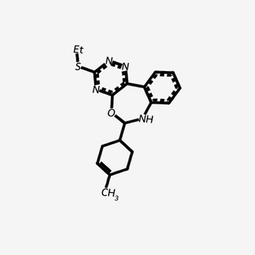 CCSc1nnc2c(n1)OC(C1CC=C(C)CC1)Nc1ccccc1-2